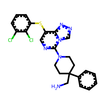 NCC1(c2ccccc2)CCN(c2ncc(Sc3cccc(Cl)c3Cl)c3nncn23)CC1